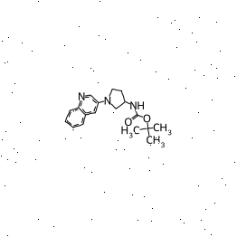 CC(C)(C)OC(=O)NC1CCN(c2cnc3cc[c]cc3c2)C1